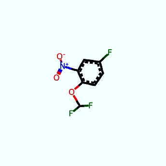 O=[N+]([O-])c1cc(F)ccc1OC(F)F